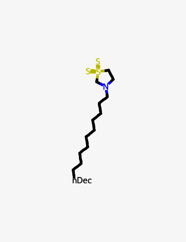 CCCCCCCCCCCCCCCCCCCCN1CCS(=S)(=S)C1